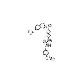 COc1ccc(CNC(=O)NC2CC3(C2)CC(C(=O)N2CCc4ccc(C(F)(F)F)cc4C2)C3)cc1